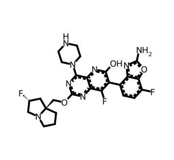 Nc1nc2c(-c3c(O)nc4c(N5CCNCC5)nc(OC[C@@]56CCCN5C[C@H](F)C6)nc4c3F)ccc(F)c2o1